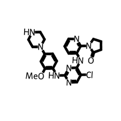 COc1cc(N2CCNCC2)ccc1Nc1ncc(Cl)c(Nc2cccnc2N2CCCC2=O)n1